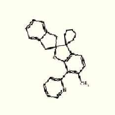 Cc1ccc2c(c1-c1ccccn1)OC1(Cc3ccccc3C1)C21CCCCC1